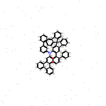 c1ccc(-c2cccc(N(c3ccc4c5ccccc5c5ccccc5c4c3)c3cc4c(cc3-c3ccccc3-c3ccccc3)-c3ccccc3C43c4ccccc4-c4ccccc43)c2)cc1